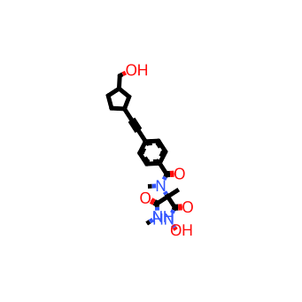 CNC(=O)C(C)(C(=O)NO)N(C)C(=O)c1ccc(C#CC2CCC(CO)C2)cc1